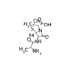 CC(N)C(=O)N[C@@H]1C(=O)N2[C@@H]1SC(C)(C)[C@@H]2C(=O)O